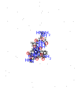 CC(=O)N[C@H](C(=O)N[C@@H](CCCNC(=N)N)C(=O)N[C@@H](CC(C)C)C(=O)NCC(=O)N[C@@H](Cc1ccccc1)C(=O)N[C@@H](CCC(N)=O)C(=O)N[C@@H](Cc1c[nH]cn1)C(=O)N[C@@H](Cc1c[nH]c2ccccc12)C(N)=O)C(C)C